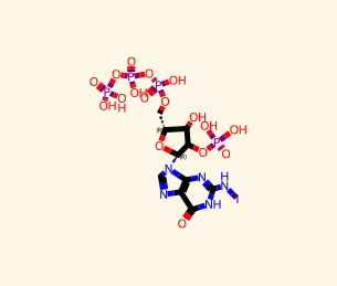 O=c1[nH]c(NI)nc2c1ncn2[C@@H]1O[C@H](COP(=O)(O)OP(=O)(O)OP(=O)(O)O)C(O)C1OP(=O)(O)O